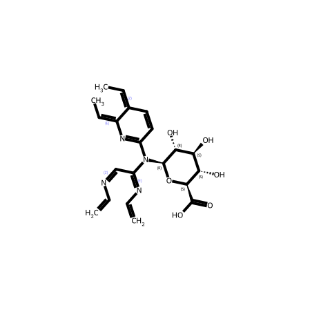 C=C/N=C\C(=N/C=C)N(c1ccc(=C/C)/c(=C\C)n1)[C@@H]1O[C@H](C(=O)O)[C@@H](O)[C@H](O)[C@H]1O